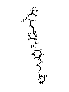 Fc1cc(C(F)(F)F)ccc1C=Cc1nc(CNc2ccc(CCCCn3ccnn3)cc2)co1